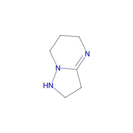 C1CN=C2CCNN2C1